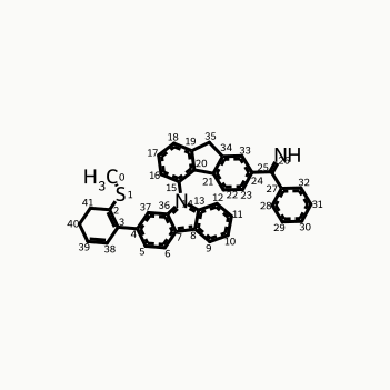 CSC1=C(c2ccc3c4ccccc4n(-c4cccc5c4-c4ccc(C(=N)c6ccccc6)cc4C5)c3c2)C=CCC1